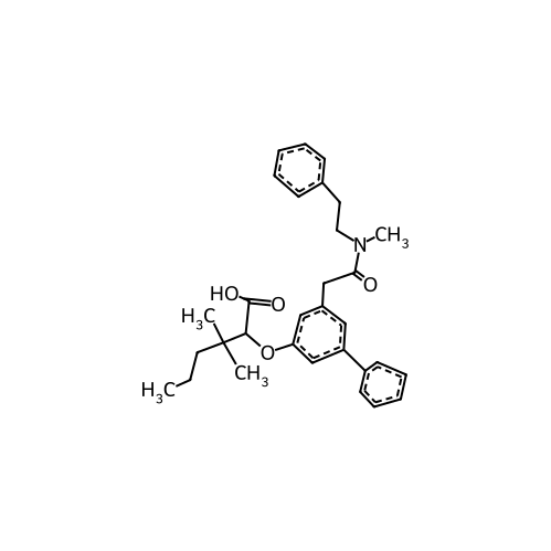 CCCC(C)(C)C(Oc1cc(CC(=O)N(C)CCc2ccccc2)cc(-c2ccccc2)c1)C(=O)O